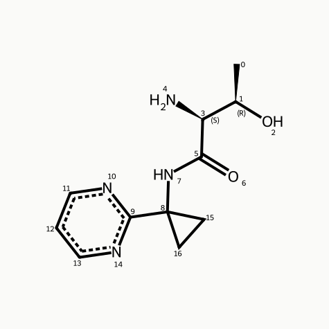 C[C@@H](O)[C@H](N)C(=O)NC1(c2ncccn2)CC1